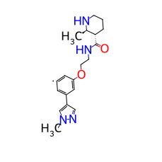 C[C@H]1NCCC[C@@H]1C(=O)NCCOc1c[c]cc(-c2cnn(C)c2)c1